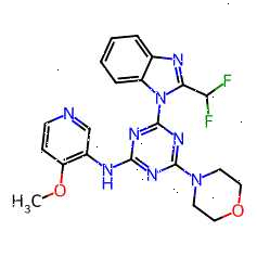 COc1ccncc1Nc1nc(N2CCOCC2)nc(-n2c(C(F)F)nc3ccccc32)n1